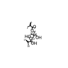 C=C(C)C(=O)OCC(CO)(CO)COC(O)C(=C)C